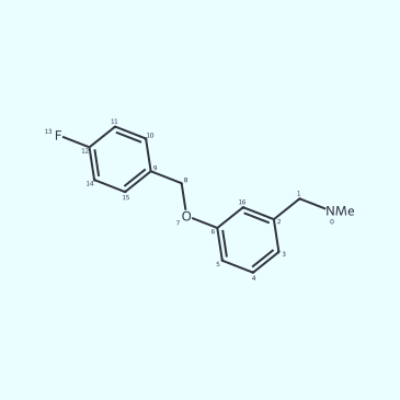 CNCc1cccc(OCc2ccc(F)cc2)c1